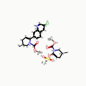 C[C@H]1CC=C(OS(=O)(=O)C(F)(F)F)N(C(=O)OC(C)(C)C)C1.C[C@H]1CC=C(c2ccc3cc(Cl)cnc3c2)N(C(=O)OC(C)(C)C)C1